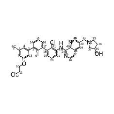 Cc1c(-c2cc(F)cc(OCCCl)c2)cccc1-c1cccc(Nc2nccc3cc(CN4CCC(O)C4)cnc23)c1Cl